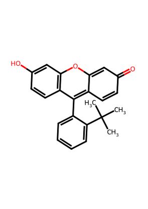 CC(C)(C)c1ccccc1-c1c2ccc(=O)cc-2oc2cc(O)ccc12